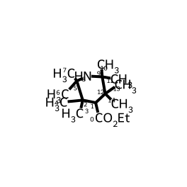 CCOC(=O)C1C(C)(C)C(C)(C)NC(C)(C)C1(C)C